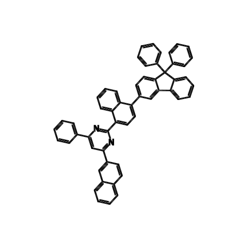 c1ccc(-c2cc(-c3ccc4ccccc4c3)nc(-c3ccc(-c4ccc5c(c4)-c4ccccc4C5(c4ccccc4)c4ccccc4)c4ccccc34)n2)cc1